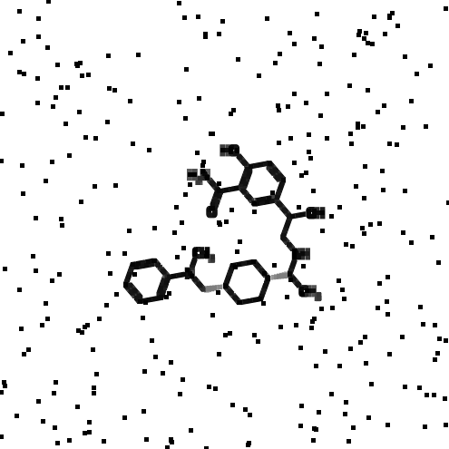 CC(NCC(O)c1ccc(O)c(C(N)=O)c1)[C@H]1CC[C@@H](CN(C)c2ccccc2)CC1